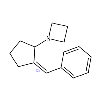 C(=C1\CCCC1N1CCC1)/c1ccccc1